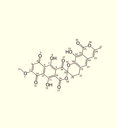 COC1=CC(=O)c2c(O)c3c(c(O)c2C1=O)C(=O)OC1(CCc2cc4cc(C)oc(=O)c4c(O)c2O1)C3=O